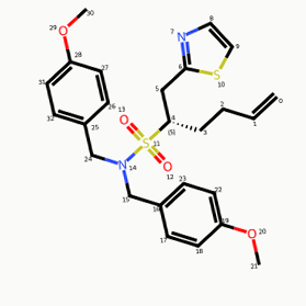 C=CCC[C@@H](Cc1nccs1)S(=O)(=O)N(Cc1ccc(OC)cc1)Cc1ccc(OC)cc1